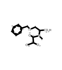 CN(C(CSCc1ccccc1)C(=O)O)C(Cl)C(Cl)Cl